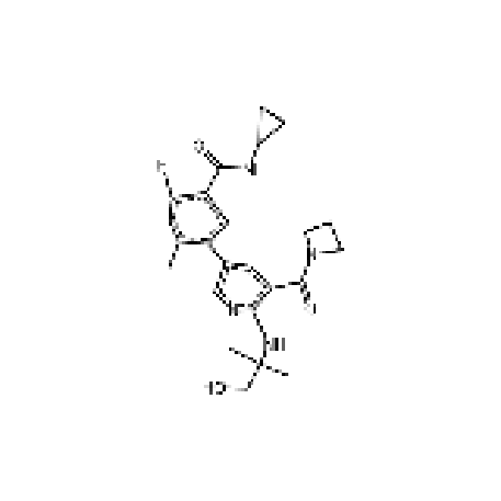 Cc1cc(F)c(C(=O)NC2CC2)cc1-c1cnc(NC(C)(C)CO)c(C(=O)N2CCC2)c1